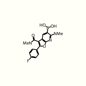 CNC(=O)c1c(-c2ccc(F)cc2)oc2nc(NC)c(B(O)O)cc12